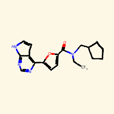 O=C(c1ccc(-c2ncnc3[nH]ccc23)o1)N(CC1CCCC1)CC(F)(F)F